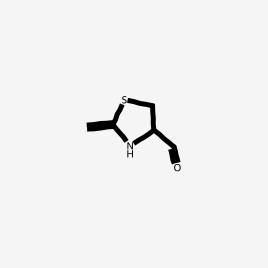 C=C1NC(C=O)CS1